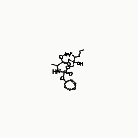 CC=C[C@H](F)C(O)(F)COP(=O)(NC(C)C(=O)OC(C)C)Oc1ccccc1